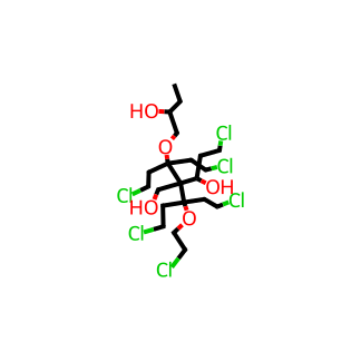 CCC(O)COC(CCCl)(CCCl)C(CO)(C(O)CCCl)C(CCCl)(CCCl)OCCCl